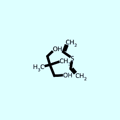 C=CSC=C.CC(C)(CO)CO